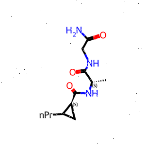 CCCC1C[C@@H]1C(=O)N[C@@H](C)C(=O)NCC(N)=O